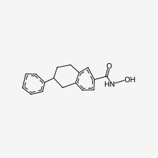 O=C(NO)c1ccc2c(c1)CCC(c1ccccc1)C2